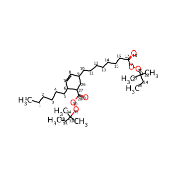 CCCCCCC1C=CC(CCCCCCCC(=O)OOC(C)(C)CC)CC1C(=O)OOC(C)(C)CC